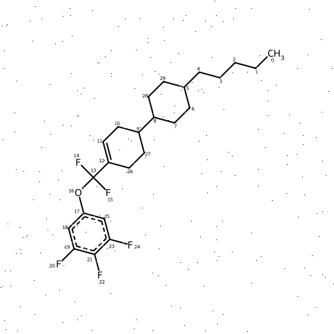 CCCCCC1CCC(C2CC=C(C(F)(F)Oc3cc(F)c(F)c(F)c3)CC2)CC1